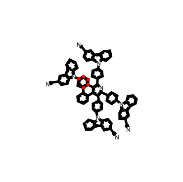 N#Cc1ccc2c(c1)c1ccccc1n2-c1ccc(-c2nc(-c3ccc(-n4c5ccccc5c5cc(C#N)ccc54)cc3)c(-c3ccc(-n4c5ccccc5c5cc(C#N)ccc54)cc3)c(-c3ccccc3-c3ccccn3)c2-c2ccc(-n3c4ccccc4c4cc(C#N)ccc43)cc2)cc1